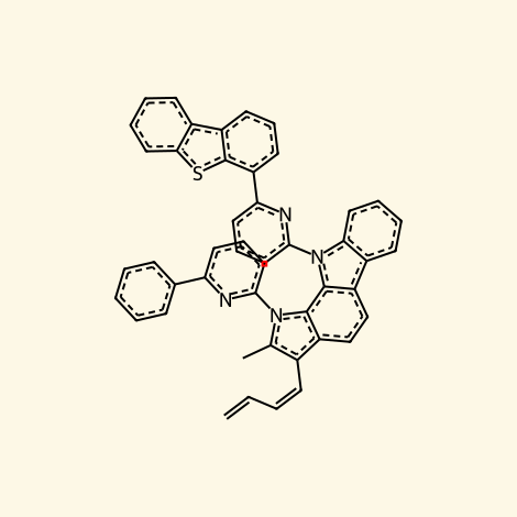 C=C/C=C\c1c(C)n(-c2cccc(-c3ccccc3)n2)c2c1ccc1c3ccccc3n(-c3cccc(-c4cccc5c4sc4ccccc45)n3)c12